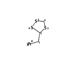 CC(C)CC1SCSS1